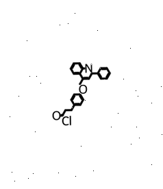 O=C(Cl)CCc1ccc(OCc2cc(-c3ccccc3)nc3ccccc23)cc1